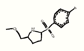 COCC1CCC(S(=O)(=O)c2ccc(Br)cc2)N1